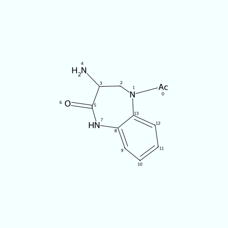 CC(=O)N1CC(N)C(=O)Nc2ccccc21